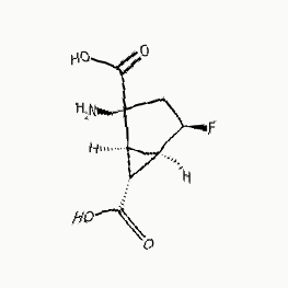 N[C@@]1(C(=O)O)C[C@@H](F)[C@H]2[C@H](C(=O)O)[C@H]21